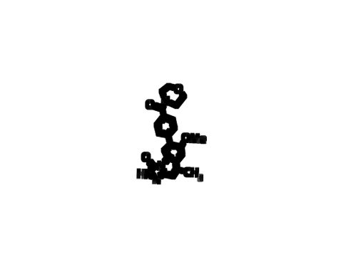 COc1cc2c(C)cc3n[nH]c(=O)n3c2cc1-c1ccc(C(=O)N2CCOCC2)cc1